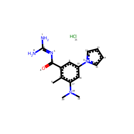 Cc1c(C(=O)N=C(N)N)cc(-n2cccc2)cc1N(C)C.Cl